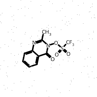 Cc1nc2ccccc2c(=O)n1OS(=O)(=O)C(F)(F)F